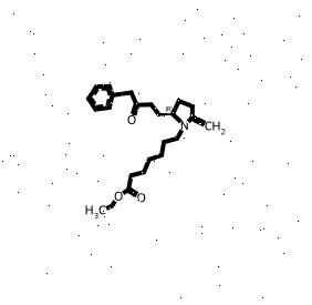 C=C1CC[C@H](CCC(=O)Cc2ccccc2)N1CCCCCCC(=O)OCC